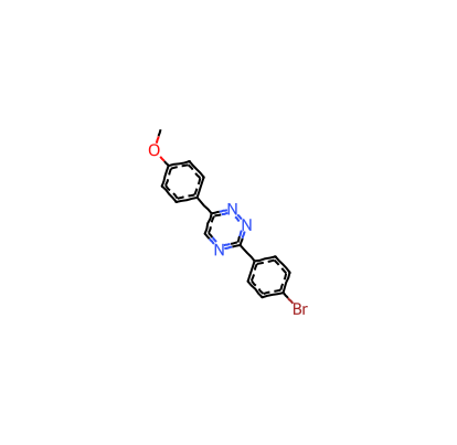 COc1ccc(-c2cnc(-c3ccc(Br)cc3)nn2)cc1